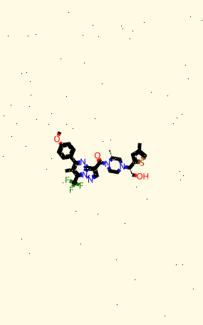 COc1ccc(-c2nc3c(C(=O)N4CCN([C@@H](CO)c5cc(C)cs5)C[C@H]4C)cnn3c(C(F)(F)F)c2C)cc1